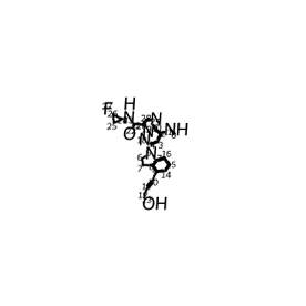 CNc1cc(N2CCc3c(C#CCO)cccc32)nn2c(C(=O)N[C@@H]3C[C@@H]3F)cnc12